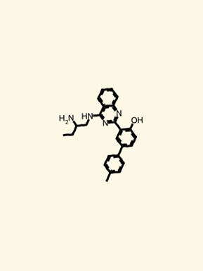 CCC(N)CNc1nc(-c2cc(-c3ccc(C)cc3)ccc2O)nc2ccccc12